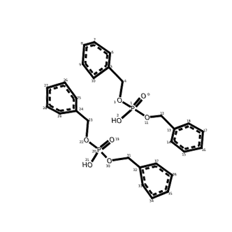 O=P(O)(OCc1ccccc1)OCc1ccccc1.O=P(O)(OCc1ccccc1)OCc1ccccc1